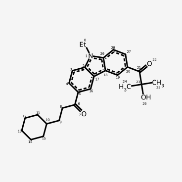 CCn1c2ccc(C(=O)CCC3CCCCC3)cc2c2cc(C(=O)C(C)(C)O)ccc21